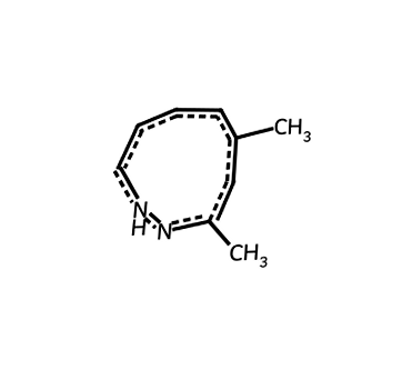 Cc1cccc[nH]nc(C)c1